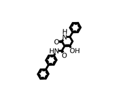 O=C(Nc1ccc(-c2ccccc2)cc1)C1=C(O)CC(c2ccccc2)NC1=O